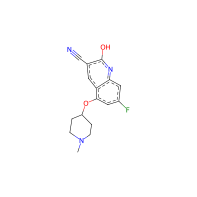 CN1CCC(Oc2cc(F)cc3nc(O)c(C#N)cc23)CC1